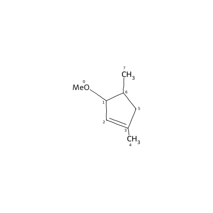 COC1C=C(C)CC1C